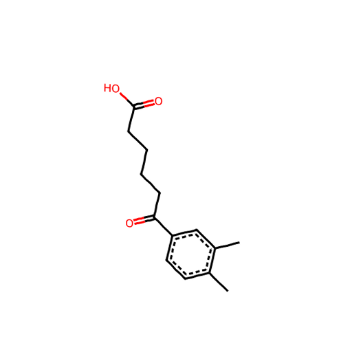 Cc1ccc(C(=O)CCCCC(=O)O)cc1C